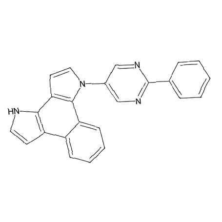 c1ccc(-c2ncc(-n3ccc4c5[nH]ccc5c5ccccc5c43)cn2)cc1